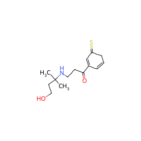 CC(C)(CCO)NCCC(=O)C1=CC(=S)CC=C1